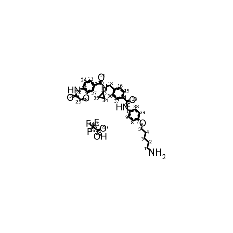 NCCCCCOc1ccc(NC(=O)c2ccc(CN(C(=O)c3ccc4c(c3)OCC(=O)N4)C3CC3)cc2)cc1.O=C(O)C(F)(F)F